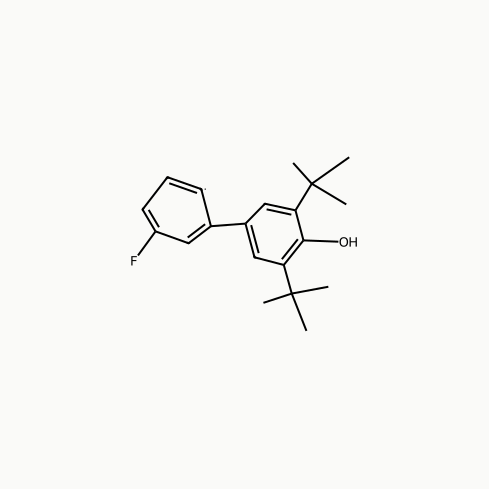 CC(C)(C)c1cc(-c2[c]ccc(F)c2)cc(C(C)(C)C)c1O